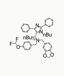 CCCC[C@@H](c1c(-c2ccccc2)nc(-c2ccccc2)n1CCCC)N(Cc1ccc(OC(F)F)cc1)Cc1ccc2c(c1)OCO2